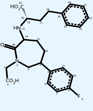 O=C(O)CN1CC(c2ccc(F)cc2)CCC(N[C@@H](CCc2ccccc2)C(=O)O)C1=O